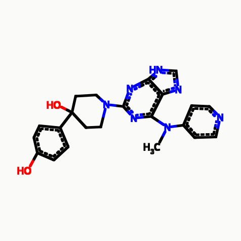 CN(c1ccncc1)c1nc(N2CCC(O)(c3ccc(O)cc3)CC2)nc2[nH]cnc12